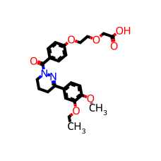 CCOc1cc(C2=NN(C(=O)c3ccc(OCCOCC(=O)O)cc3)CCC2)ccc1OC